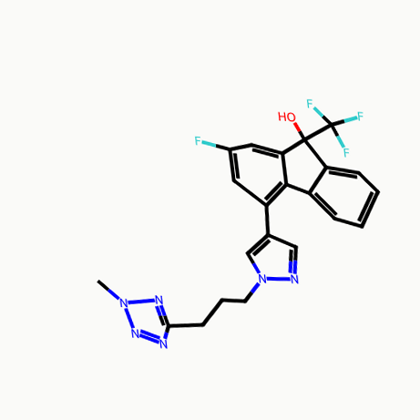 Cn1nnc(CCCn2cc(-c3cc(F)cc4c3-c3ccccc3C4(O)C(F)(F)F)cn2)n1